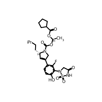 CC(C)CC[C@H]1C=C(c2ccc(O)c(N3CC(=O)NS3(=O)=O)c2F)CN1C(=O)O[C@H](C)OC(=O)C1CCCC1